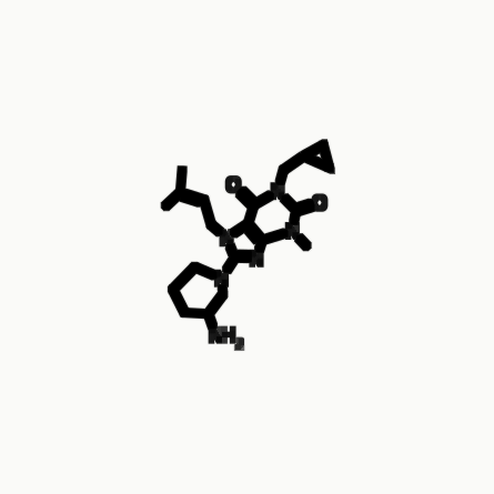 CC(C)=CCn1c(N2CCCC(N)C2)nc2c1c(=O)n(CC1CC1)c(=O)n2C